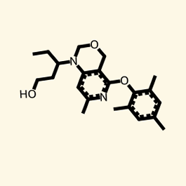 CCC(CCO)N1COCc2c1cc(C)nc2Oc1c(C)cc(C)cc1C